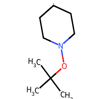 CC(C)(C)ON1CC[CH]CC1